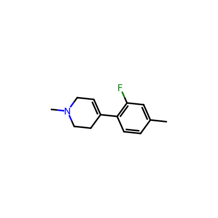 Cc1ccc(C2=CCN(C)CC2)c(F)c1